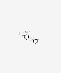 O=[N+]([O-])c1cc(S(=O)(=O)c2cccc(Cl)c2)ccc1C(F)(F)F